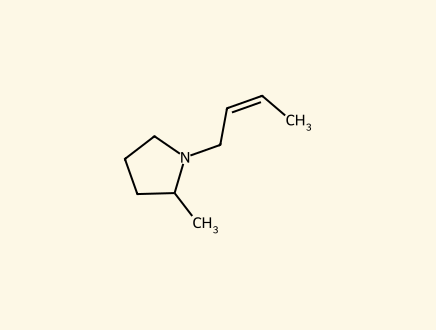 C/C=C\CN1CCCC1C